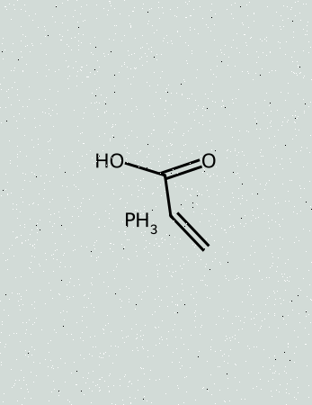 C=CC(=O)O.P